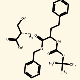 CC(C)(C)OC(=O)N[C@H](CCc1ccccc1)C(=O)OCc1ccccc1.N[C@@H](CO)C(=O)O